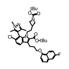 Cc1nn(C)c(C)c1-c1c(Cl)ccc2c(CCCOc3cccc4cc(F)ccc34)c(C(=O)OC(C)(C)C)n(CCC3CN(C(=O)OC(C)(C)C)C3)c12